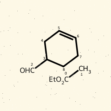 CCOC(C)=O.O=CC1CC=CCC1